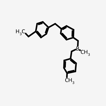 CCc1ccc(Cc2ccc(CB(C)Cc3ccc(C)cc3)cc2)cc1